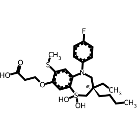 CCCC[C@]1(CC)CN(c2ccc(F)cc2)c2cc(SC)c(OCCC(=O)O)cc2S(O)(O)C1